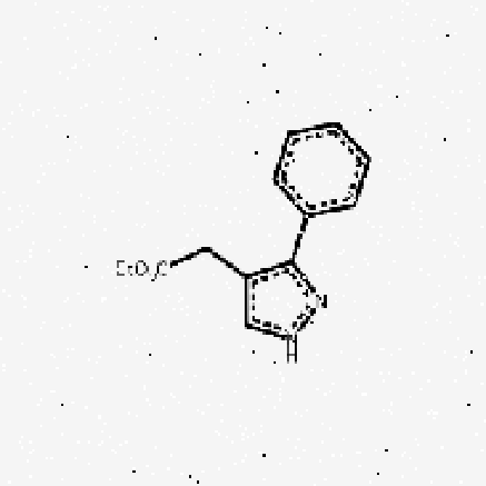 CCOC(=O)Cc1c[nH]nc1-c1ccccc1